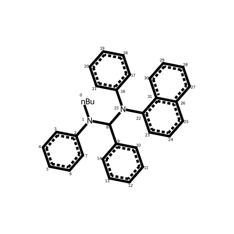 CCCCN(c1ccccc1)C(c1ccccc1)N(c1ccccc1)c1cccc2ccccc12